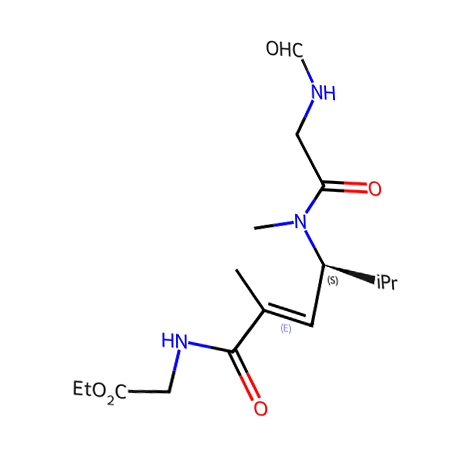 CCOC(=O)CNC(=O)/C(C)=C/[C@H](C(C)C)N(C)C(=O)CNC=O